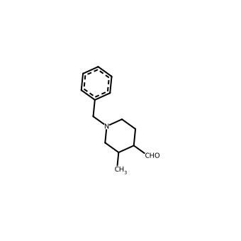 CC1CN(Cc2ccccc2)CCC1C=O